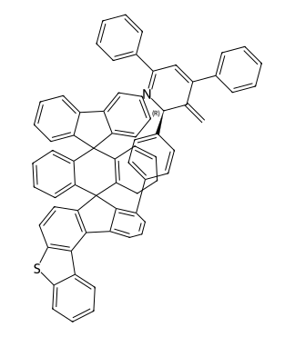 C=C1C(c2ccccc2)=CC(c2ccccc2)=N[C@@H]1c1ccc(-c2cccc3c2C2(C4=C(C=CCC4)C4(c5ccccc5-c5ccccc54)c4ccccc42)c2ccc4sc5ccccc5c4c2-3)cc1